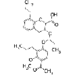 CCCc1cccc2c1OC(C(=O)O)C(OC(CC)Oc1ccc(C(C)=O)c(OC)c1CCC)C2